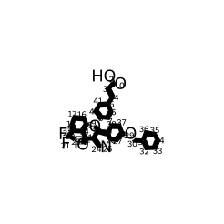 O=C(O)/C=C/c1ccc(Oc2c(C(=O)c3ccccc3C(F)(F)F)cnc3cc(OCc4ccccc4)ccc23)cc1